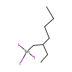 CCCCC(CC)[CH2][Sn]([I])([I])[I]